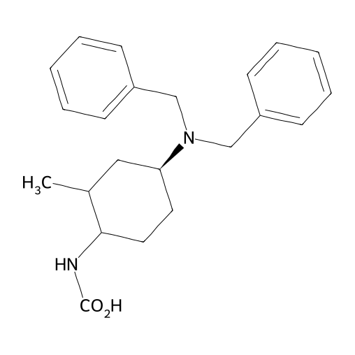 CC1C[C@@H](N(Cc2ccccc2)Cc2ccccc2)CCC1NC(=O)O